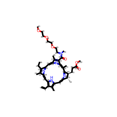 C=Cc1c(C)c2cc3nc(c(C)c4[nH]c(cc5nc(cc1[nH]2)C(C)=C5CC)c(C)c4C(=O)N(C)CCOCCOCCOC)[C@@H](CCC(=O)OC)[C@@H]3C